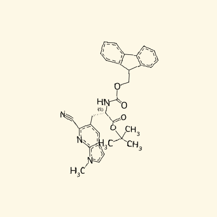 Cn1ccc2cc(C[C@H](NC(=O)OCC3c4ccccc4-c4ccccc43)C(=O)OC(C)(C)C)c(C#N)nc21